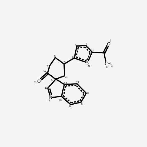 CC(=O)c1ccc(C2CCC(=O)C3(C=Nc4ccccc43)C2)s1